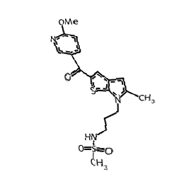 COc1ccc(C(=O)c2cc3cc(C)n(CCCNS(C)(=O)=O)c3s2)cn1